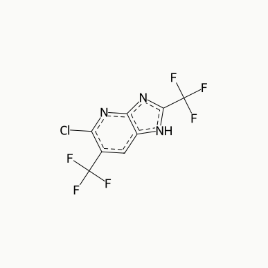 FC(F)(F)c1nc2nc(Cl)c(C(F)(F)F)cc2[nH]1